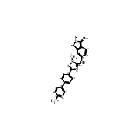 Cn1nc(-c2ccc(-c3ccc(C(F)(F)F)nc3)cc2)nc1Nc1ccc2c(c1)CNC2=O